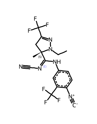 [C-]#[N+]c1ccc(N/C(=N/C#N)[C@]2(C)CC(C(F)(F)F)=NN2CC)cc1C(F)(F)F